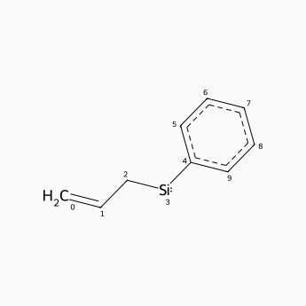 C=CC[Si]c1ccccc1